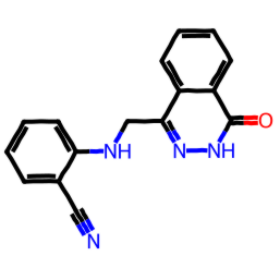 N#Cc1ccccc1NCc1n[nH]c(=O)c2ccccc12